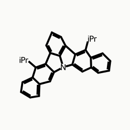 CC(C)c1c2ccccc2cc2c1c1cccc3c4c(C(C)C)c5ccccc5cc4n2c13